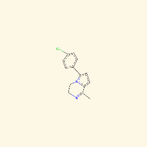 CC1=NCCn2c1ccc2-c1ccc(Cl)cc1